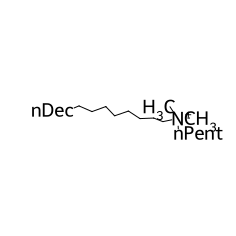 CCCCCCCCCCCCCCCCCC[N+](C)(C)CCCCC